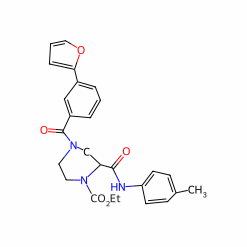 CCOC(=O)N1CCN(C(=O)c2cccc(-c3ccco3)c2)CC1C(=O)Nc1ccc(C)cc1